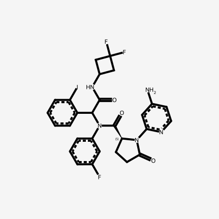 Nc1ccnc(N2C(=O)CC[C@H]2C(=O)N(c2cccc(F)c2)C(C(=O)NC2CC(F)(F)C2)c2ccccc2I)c1